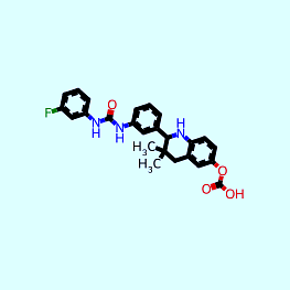 CC1(C)Cc2cc(OC(=O)O)ccc2NC1c1cccc(NC(=O)Nc2cccc(F)c2)c1